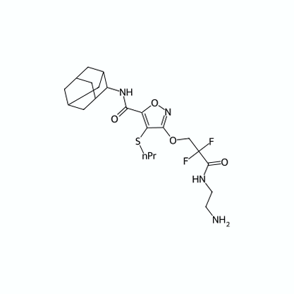 CCCSc1c(OCC(F)(F)C(=O)NCCN)noc1C(=O)NC1C2CC3CC(C2)CC1C3